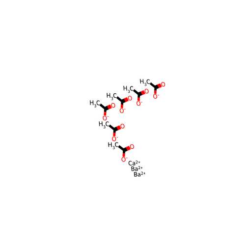 CC(=O)[O-].CC(=O)[O-].CC(=O)[O-].CC(=O)[O-].CC(=O)[O-].CC(=O)[O-].[Ba+2].[Ba+2].[Ca+2]